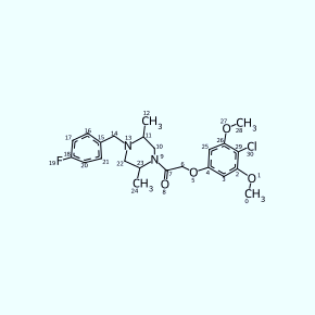 COc1cc(OCC(=O)N2CC(C)N(Cc3ccc(F)cc3)CC2C)cc(OC)c1Cl